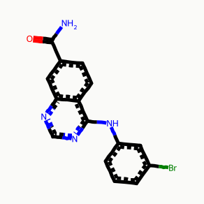 NC(=O)c1ccc2c(Nc3cccc(Br)c3)ncnc2c1